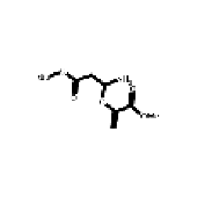 C=C(OC(N)CC(=O)OC(C)(C)C)C(=O)OC